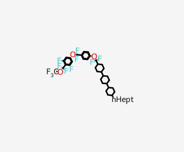 CCCCCCCC1CCC(C2CCC(C3CCC(C(F)(F)Oc4ccc(C(F)(F)Oc5cc(F)c(C(F)(F)OC(F)(F)F)c(F)c5)cc4)CC3)CC2)CC1